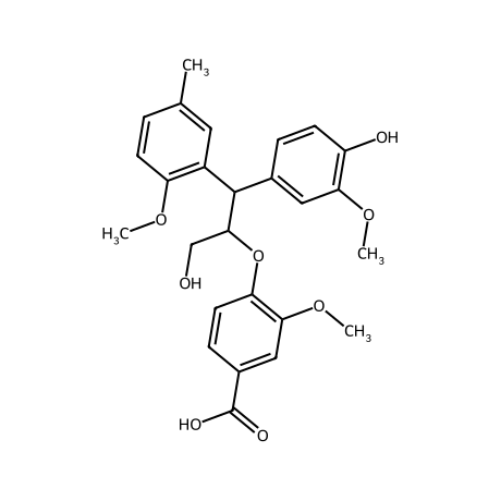 COc1cc(C(c2cc(C)ccc2OC)C(CO)Oc2ccc(C(=O)O)cc2OC)ccc1O